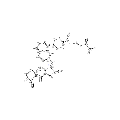 C=C(C)C(=O)CCCC(=O)N1CCN(c2ccnc3ccc(/C=C4\SC(Nc5c(Cl)cccc5Cl)=NC4=O)cc23)CC1